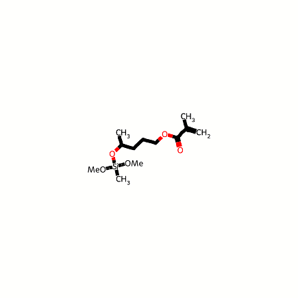 C=C(C)C(=O)OCCCC(C)O[Si](C)(OC)OC